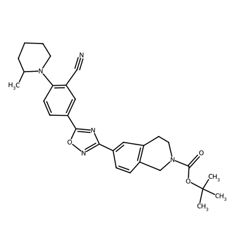 CC1CCCCN1c1ccc(-c2nc(-c3ccc4c(c3)CCN(C(=O)OC(C)(C)C)C4)no2)cc1C#N